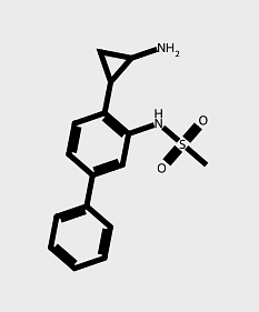 CS(=O)(=O)Nc1cc(-c2ccccc2)ccc1C1CC1N